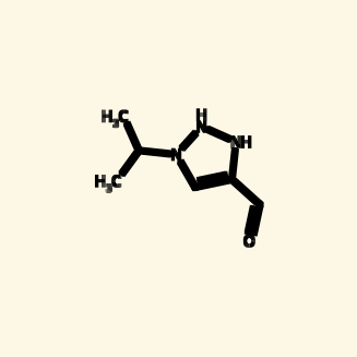 CC(C)N1C=C(C=O)NN1